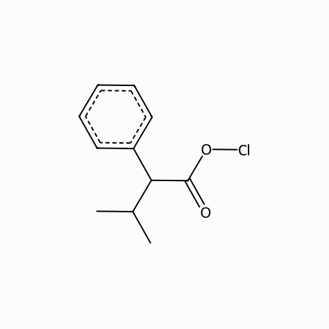 CC(C)C(C(=O)OCl)c1ccccc1